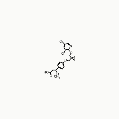 COC(CC(=O)O)c1ccc(OCC2(COc3ncc(Cl)cc3Cl)CC2)cc1